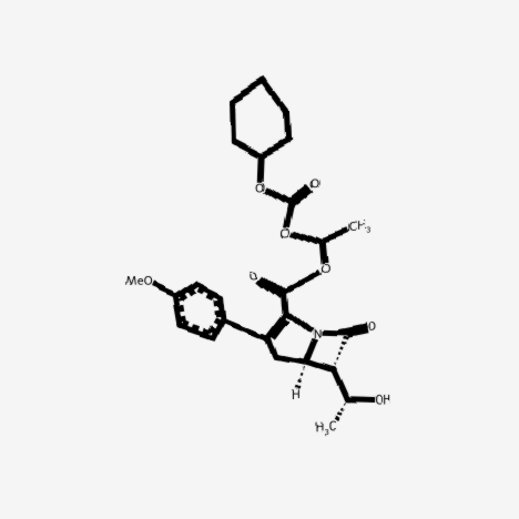 COc1ccc(C2=C(C(=O)OC(C)OC(=O)OC3CCCCC3)N3C(=O)[C@H]([C@@H](C)O)[C@H]3C2)cc1